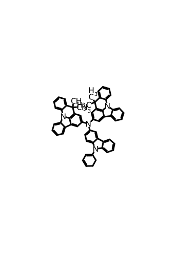 CC1(C)c2ccccc2-n2c3ccccc3c3cc(N(c4ccc5c(c4)c4ccccc4n5C4=CC=CCC4)c4cc5c6c(c4)c4ccccc4n6-c4ccccc4C5(C)C)cc1c32